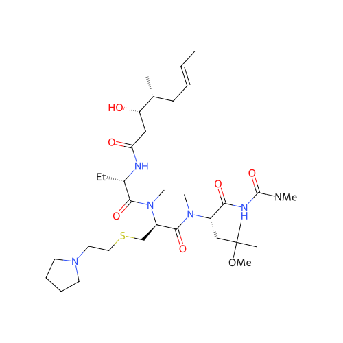 C/C=C/C[C@@H](C)[C@@H](O)CC(=O)N[C@@H](CC)C(=O)N(C)[C@H](CSCCN1CCCC1)C(=O)N(C)[C@@H](CC(C)(C)OC)C(=O)NC(=O)NC